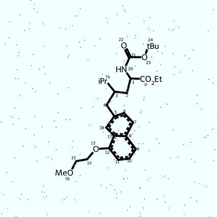 CCOC(=O)C(CC(Cc1ccc2cccc(OCCOC)c2c1)C(C)C)NC(=O)OC(C)(C)C